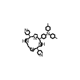 Cc1ccc(N(c2ccc(C)cc2)c2ccc(-c3c4nc(c(-c5ccncc5)c5ccc(cc6nc(c(-c7ccncc7)c7ccc3[nH]7)C=C6)[nH]5)C=C4)cc2)cc1